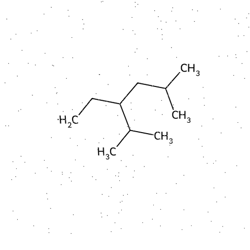 [CH2]CC(CC(C)C)C(C)C